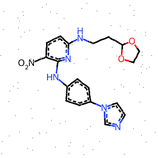 O=[N+]([O-])c1ccc(NCCC2OCCO2)nc1Nc1ccc(-n2ccnc2)cc1